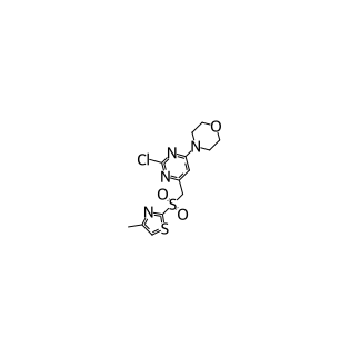 Cc1csc(S(=O)(=O)Cc2cc(N3CCOCC3)nc(Cl)n2)n1